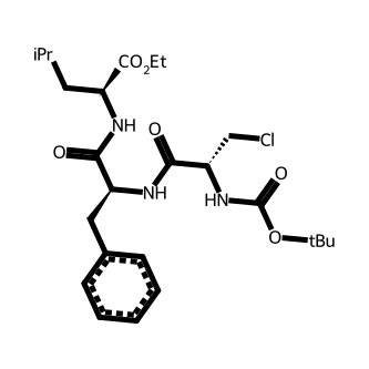 CCOC(=O)[C@H](CC(C)C)NC(=O)[C@H](Cc1ccccc1)NC(=O)[C@H](CCl)NC(=O)OC(C)(C)C